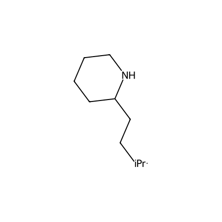 C[C](C)CCC1CCCCN1